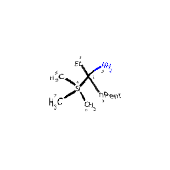 CCCCCC(N)(CC)[Si](C)(C)C